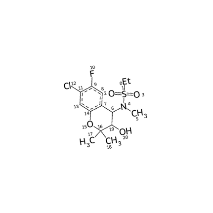 CCS(=O)(=O)N(C)C1c2cc(F)c(Cl)cc2OC(C)(C)C1O